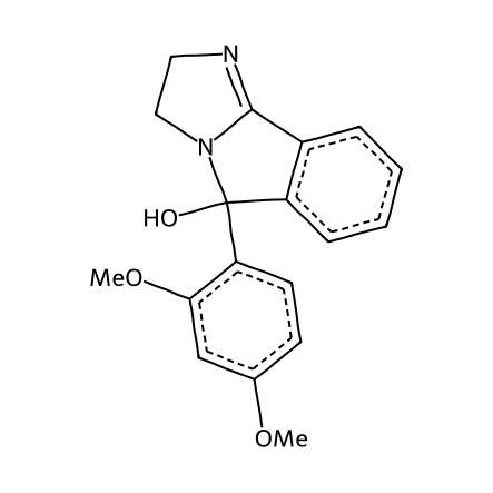 COc1ccc(C2(O)c3ccccc3C3=NCCN32)c(OC)c1